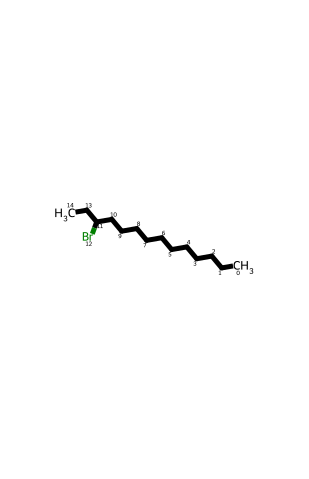 CCCCCCCCCCCC(Br)CC